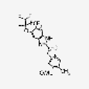 COc1cc(C[S+]([O-])c2nc3cc(OC(F)(F)C(F)F)c(C(F)(F)F)cc3[nH]2)ncc1C